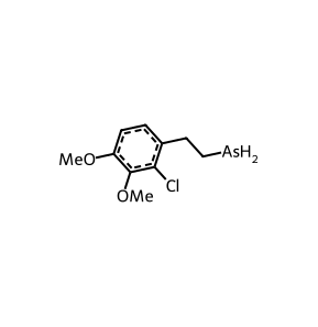 COc1ccc(CC[AsH2])c(Cl)c1OC